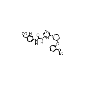 CCOc1ccccc1OC1CCCN(c2cncc(NC(=O)Nc3ccc(CC(=O)O)cc3)n2)C1